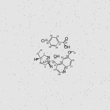 CC[C@@H]1CN2CCC1C[C@H]2[C@H](O)c1ccnc2ccc(OC)cc12.O=C(O)c1ccc(Cl)cc1